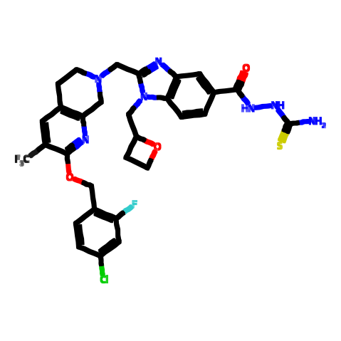 NC(=S)NNC(=O)c1ccc2c(c1)nc(CN1CCc3cc(C(F)(F)F)c(OCc4ccc(Cl)cc4F)nc3C1)n2CC1CCO1